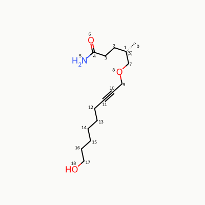 C[C@@H](CCC(N)=O)COCC#CCCCCCCO